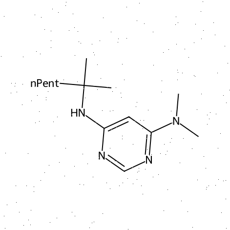 CCCCCC(C)(C)Nc1cc(N(C)C)ncn1